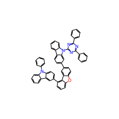 c1ccc(-c2nc(-c3ccccc3)nc(-n3c4ccccc4c4ccc(-c5ccc6oc7cccc(-c8ccc9c(c8)c8ccccc8n9-c8ccccc8)c7c6c5)cc43)n2)cc1